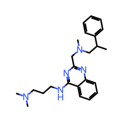 CC(CN(C)Cc1nc(NCCCN(C)C)c2ccccc2n1)c1ccccc1